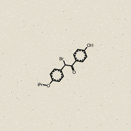 CC(C)Oc1ccc(C(Br)C(=O)c2ccc(O)cc2)cc1